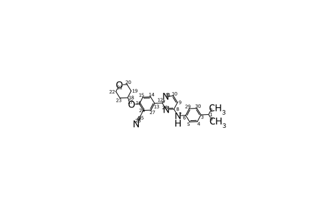 CC(C)c1ccc(Nc2ccnc(-c3ccc(OC4CCOCC4)c(C#N)c3)n2)cc1